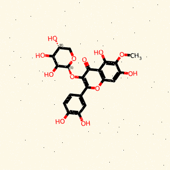 COc1c(O)cc2oc(-c3ccc(O)c(O)c3)c(O[C@@H]3OC[C@@H](O)C(O)C3O)c(=O)c2c1O